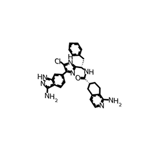 Nc1nccc2c1CC[C@@H](C(=O)N[C@@H](Cc1ccccc1)c1nc(-c3ccc4c(N)n[nH]c4c3)c(Cl)[nH]1)C2